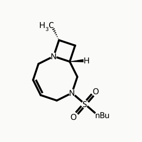 CCCCS(=O)(=O)N1C/C=C\CN2[C@H](C[C@H]2C)C1